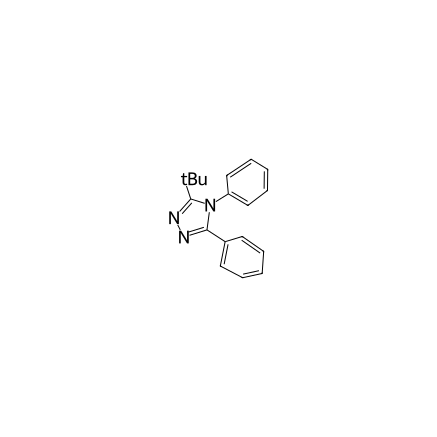 CC(C)(C)c1nnc(-c2ccccc2)n1-c1ccccc1